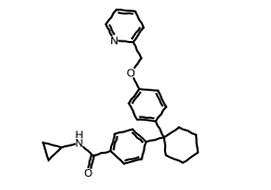 O=C(NC1CC1)c1ccc(C2(c3ccc(OCc4ccccn4)cc3)CCCCC2)cc1